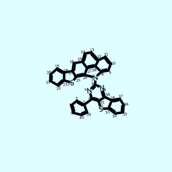 c1ccc(-c2nc(-n3c4cccc5ccc6cc7c8ccccc8sc7c3c6c54)nc3c2sc2ccccc23)cc1